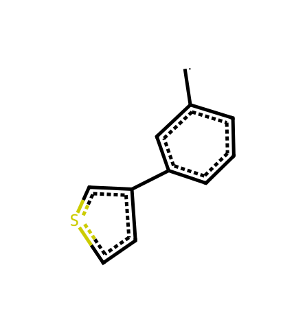 [CH2]c1cccc(-c2ccsc2)c1